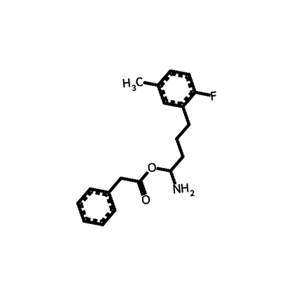 Cc1ccc(F)c(CCCC(N)OC(=O)Cc2ccccc2)c1